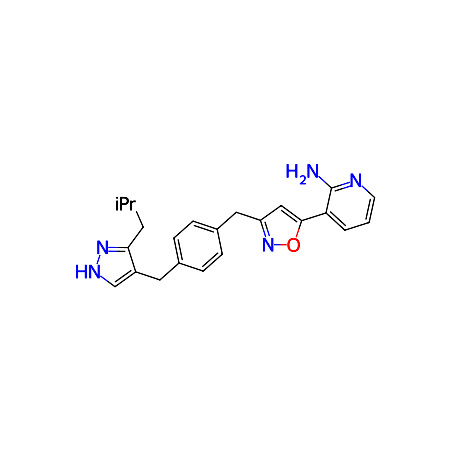 CC(C)Cc1n[nH]cc1Cc1ccc(Cc2cc(-c3cccnc3N)on2)cc1